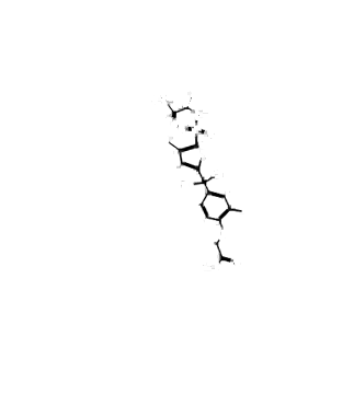 CCC(CC)(c1ccc(OCC(=O)C(C)(C)C)c(C)c1)c1cc(C)c(S(=O)(=O)N[C@H](C)C(=O)N=O)s1